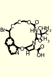 CC(C)(C)[C@@H]1NC(=O)OCCCCC(Br)c2ccc3ccnc(c3c2)O[C@@H]2C[C@@H](C(=O)O)N(C2)C1=O